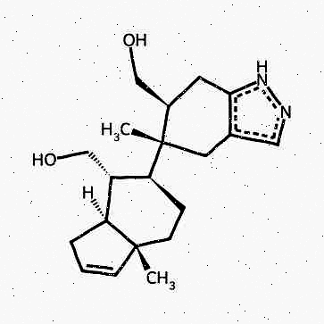 C[C@]1([C@H]2CC[C@]3(C)C=CC[C@H]3[C@@H]2CO)Cc2cn[nH]c2C[C@@H]1CO